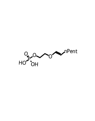 CCCCCC=COCCOP(=O)(O)O